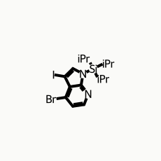 CC(C)[Si](C(C)C)(C(C)C)n1cc(I)c2c(Br)ccnc21